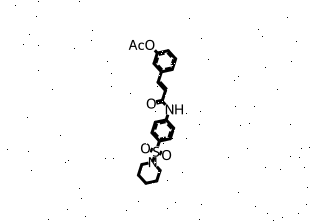 CC(=O)Oc1cccc(/C=C/C(=O)Nc2ccc(S(=O)(=O)N3CCCCC3)cc2)c1